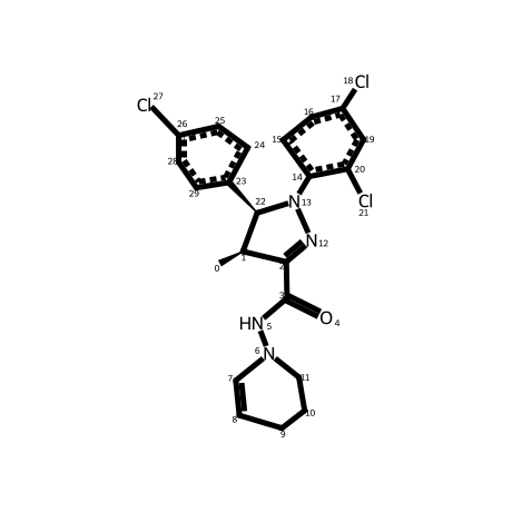 C[C@@H]1C(C(=O)NN2C=CCCC2)=NN(c2ccc(Cl)cc2Cl)[C@@H]1c1ccc(Cl)cc1